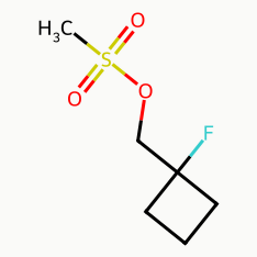 CS(=O)(=O)OCC1(F)CCC1